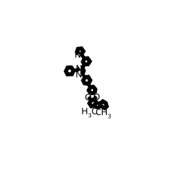 CC1(C)c2ccccc2-c2c1ccc1c2Oc2ccc(-c3ccc(-c4cc(-c5cccc(-c6ccccn6)c5)nc(-c5ccccc5)n4)cc3)cc2O1